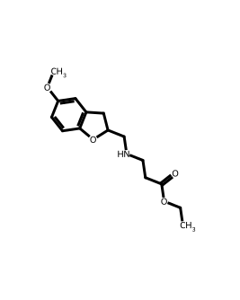 CCOC(=O)CCNCC1Cc2cc(OC)ccc2O1